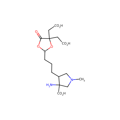 CN1CC(CCCB2OC(=O)C(CC(=O)O)(CC(=O)O)O2)C(N)(C(=O)O)C1